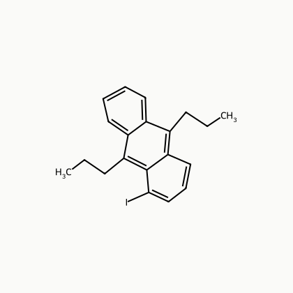 CCCc1c2ccccc2c(CCC)c2c(I)cccc12